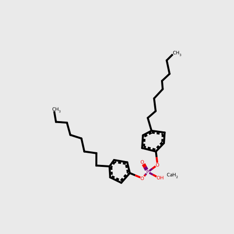 CCCCCCCCc1ccc(OP(=O)(O)Oc2ccc(CCCCCCCC)cc2)cc1.[CaH2]